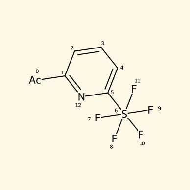 CC(=O)c1cccc(S(F)(F)(F)(F)F)n1